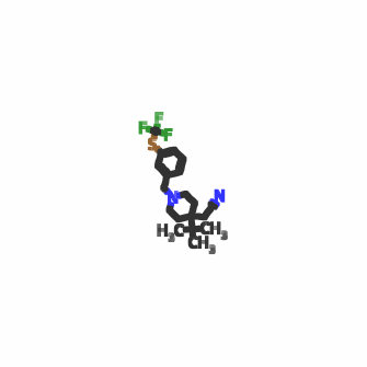 CC(C)(C)C1(CC#N)CCN(Cc2cccc(SC(F)(F)F)c2)CC1